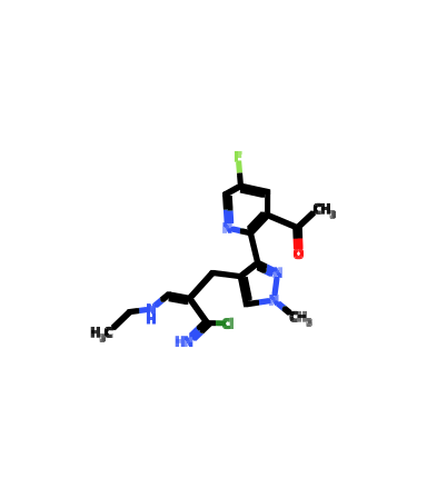 CCN/C=C(/Cc1cn(C)nc1-c1ncc(F)cc1C(C)=O)C(=N)Cl